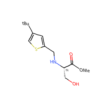 COC(=O)[C@H](CO)NCc1cc(C(C)(C)C)cs1